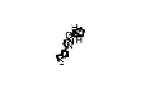 CN1[C@@H]2CCC[C@H]1C[C@@H](Oc1ccc(-c3ccc4sccc4c3)nn1)C2